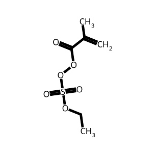 C=C(C)C(=O)OOS(=O)(=O)OCC